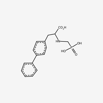 O=C(O)C(Cc1ccc(-c2ccccc2)cc1)NCP(=O)(O)O